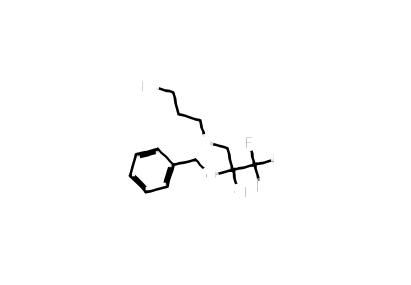 CC(COCCCO)(OCc1ccccc1)C(F)(F)F